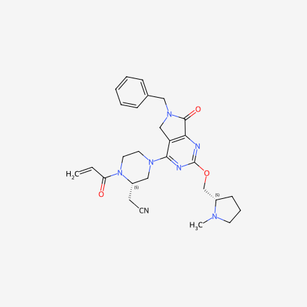 C=CC(=O)N1CCN(c2nc(OC[C@@H]3CCCN3C)nc3c2CN(Cc2ccccc2)C3=O)C[C@@H]1CC#N